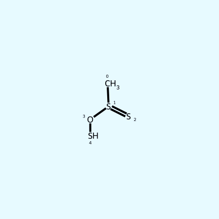 CS(=S)OS